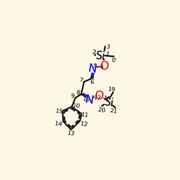 C[Si](C)(C)ON=CCC(Cc1ccccc1)=NO[Si](C)(C)C